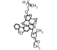 C=CC(=O)N1CCN(c2nc(=O)n(-c3c(C4CC4)nc(OCCN(C)C)nc3C3CC3)c3nc(-c4ccccc4F)c(Cl)cc23)[C@@H](C)C1